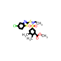 CCN(Sc1nc2cc(Cl)ccc2s1)S(=O)(=O)c1cc(C)c(C)c(C(=O)OC)c1